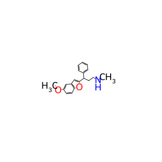 CNCCC(c1ccccc1)c1cc2cc(OC)ccc2o1